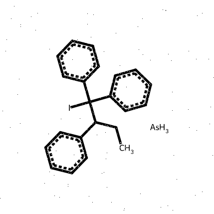 CCC(c1ccccc1)C(I)(c1ccccc1)c1ccccc1.[AsH3]